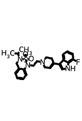 CC(C)N1Cc2ccccc2N(CCN2CC=C(c3c[nH]c4c(F)cccc34)CC2)S1(=O)=O